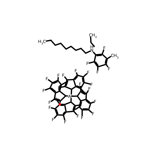 CCCCCCCCC[NH+](CCC)c1c(F)c(C)c(F)c(F)c1F.FC1=C(F)[CH]([Al-]([CH]2C(F)=C(F)c3c(F)c(F)c(F)c(F)c32)([CH]2C(F)=C(F)c3c(F)c(F)c(F)c(F)c32)[CH]2C(F)=C(F)c3c(F)c(F)c(F)c(F)c32)c2c(F)c(F)c(F)c(F)c21